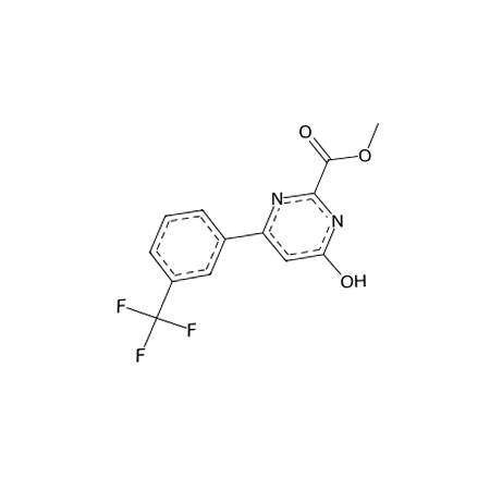 COC(=O)c1nc(O)cc(-c2cccc(C(F)(F)F)c2)n1